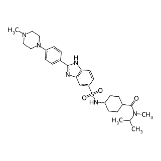 CC(C)N(C)C(=O)C1CCC(NS(=O)(=O)c2ccc3[nH]c(-c4ccc(N5CCN(C)CC5)cc4)nc3c2)CC1